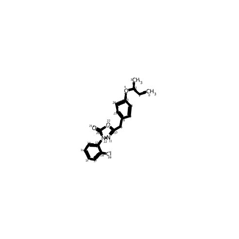 CCC(C)Oc1ccc(Cc2nn(-c3ccccc3Cl)c(=O)o2)cc1